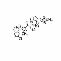 Cc1sc(C(=O)c2cncnc2N[C@@H]2CC[C@H](COS(N)(=O)=O)[C@H]2O)cc1[C@@H]1NCCc2ccc(Cl)cc21